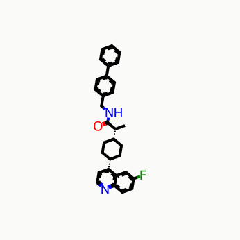 CC(C(=O)NCc1ccc(-c2ccccc2)cc1)[C@H]1CC[C@@H](c2ccnc3ccc(F)cc32)CC1